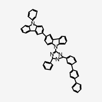 c1ccc(-c2ccc(-c3cccc(C4N5C(n6c7ccccc7c7cc(-c8ccc9c(c8)c8ccccc8n9-c8ccccc8)ccc76)=NC(c6ccccc6)N45)c3)cc2)cc1